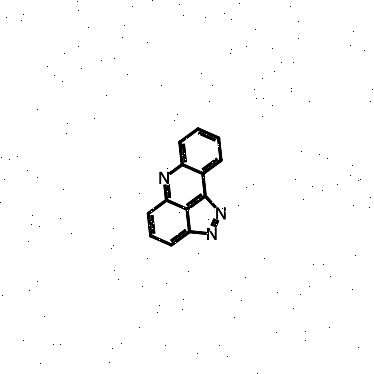 c1ccc2c3c4c(cccc4nc2c1)N=N3